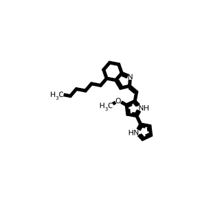 CCCCCCC1CCCC2=NC(=Cc3[nH]c(-c4ccc[nH]4)cc3OC)C=C21